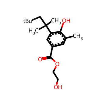 Cc1cc(C(=O)OCCO)cc(C(C)(C)CC(C)(C)C)c1O